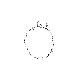 O=C1C/C=C/CCCCCCCCCCCCCCC(=O)O1